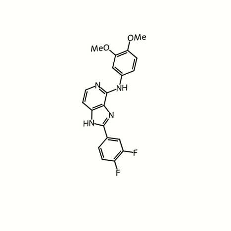 COc1ccc(Nc2nccc3[nH]c(-c4ccc(F)c(F)c4)nc23)cc1OC